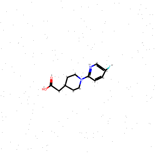 O=C(O)CC1CCN(c2ccc(F)cn2)CC1